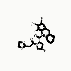 CC(C)c1c(F)cc(Cc2ccccc2)c(NC(=O)[C@@H]2C[C@@H](F)CN2C(=O)Cc2ncco2)c1F